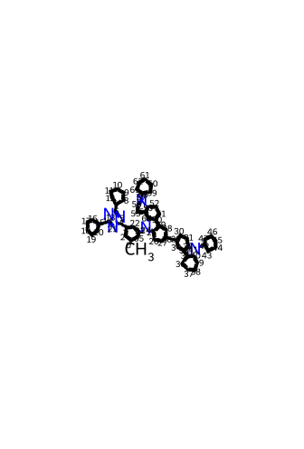 Cc1cc(-c2nc(-c3ccccc3)nc(-c3ccccc3)n2)cc(-n2c3ccc(-c4ccc5c(c4)c4ccccc4n5-c4ccccc4)cc3c3ccc4c(ccn4-c4ccccc4)c32)c1